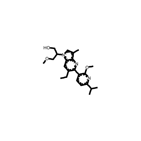 CCc1cc2c(nc1-c1ccc(C(C)C)nc1OC)c(C)cn2C(CO)COC